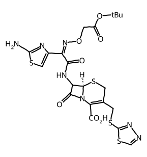 CC(C)(C)OC(=O)CO/N=C(\C(=O)NC1C(=O)N2C(C(=O)O)=C(CSc3nncs3)CS[C@H]12)c1csc(N)n1